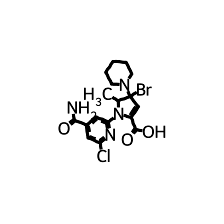 CC1N(c2cc(C(N)=O)cc(Cl)n2)C(C(=O)O)=CC1(Br)N1CCCCC1